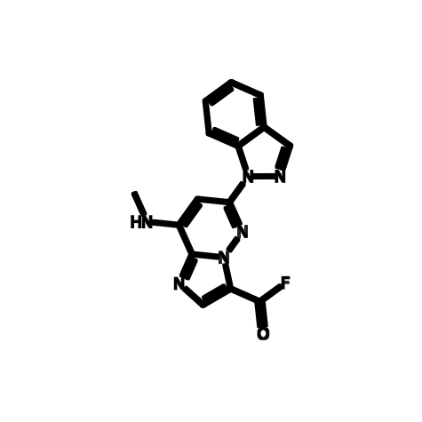 CNc1cc(-n2ncc3ccccc32)nn2c(C(=O)F)cnc12